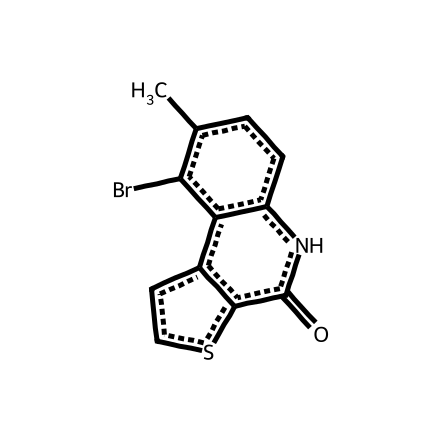 Cc1ccc2[nH]c(=O)c3sccc3c2c1Br